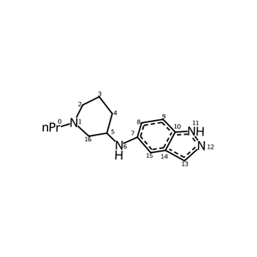 CCCN1CCCC(Nc2ccc3[nH]ncc3c2)C1